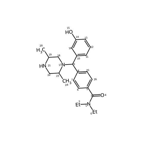 CCN(CC)C(=O)c1ccc(C(c2cccc(O)c2)N2CC(C)NCC2C)cc1